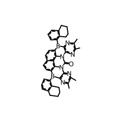 Cc1nc2c(nc1C)N1C(=O)N3c4nc(C)c(C)nc4B(c4cccc5c4CCCC5)c4ccc5ccc(c1c5c43)B2c1cccc2c1CCCC2